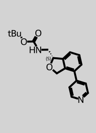 CC(C)(C)OC(=O)NC[C@H]1OCc2c(-c3ccncc3)cccc21